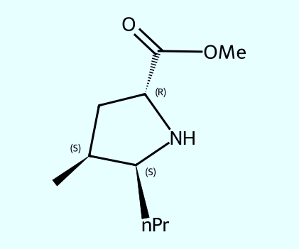 CCC[C@@H]1N[C@@H](C(=O)OC)C[C@@H]1C